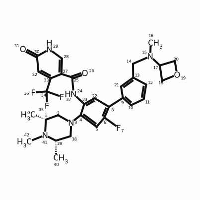 C[C@@H]1CN(c2cc(F)c(-c3cccc(CN(C)C4COC4)c3)cc2NC(=O)c2c[nH]c(=O)cc2C(F)(F)F)C[C@H](C)N1C